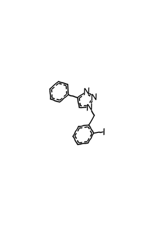 Ic1ccccc1Cn1cc(-c2ccccc2)nn1